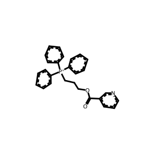 O=C(OCCC[P+](c1ccccc1)(c1ccccc1)c1ccccc1)c1cccnc1